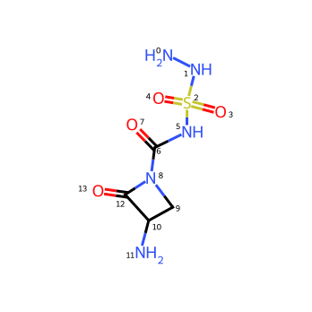 NNS(=O)(=O)NC(=O)N1CC(N)C1=O